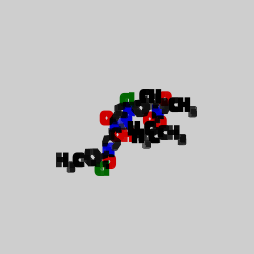 Cc1ccc(C(=O)N2CCC(O)(Cn3cnc4c(cc(Cl)n4-c4ccc([C@H]5CO[C@H](C)CN5C(=O)OC(C)(C)C)c(C)c4)c3=O)CC2)c(Cl)c1